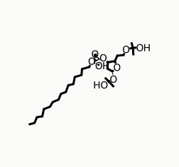 CCCCCCCCCCCCCCCCOP(=O)(O)OC1C[C@@H](OC(C)(C)O)OC1CCOC(C)(C)O